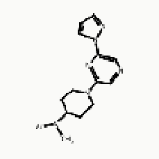 CC(=O)N(C)C1CCN(c2cncc(-n3cccn3)n2)CC1